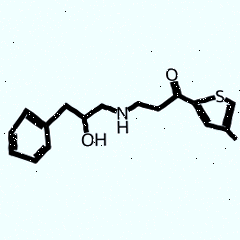 Cc1csc(C(=O)CCNCC(O)Cc2ccccc2)c1